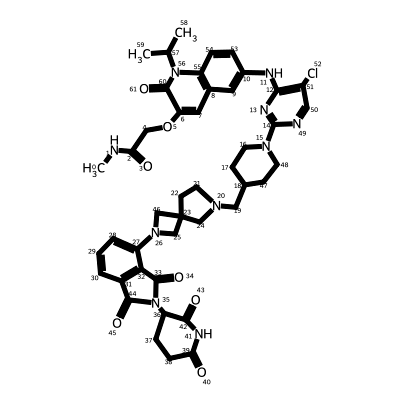 CNC(=O)COc1cc2cc(Nc3nc(N4CCC(CN5CCC6(C5)CN(c5cccc7c5C(=O)N(C5CCC(=O)NC5=O)C7=O)C6)CC4)ncc3Cl)ccc2n(C(C)C)c1=O